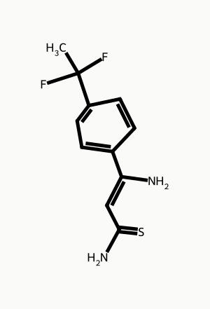 CC(F)(F)c1ccc(C(N)=CC(N)=S)cc1